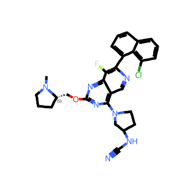 CN1CCC[C@H]1COc1nc(N2CCC(NC#N)C2)c2cnc(-c3cccc4cccc(Cl)c34)c(F)c2n1